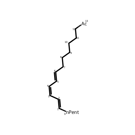 CCCCC/C=C/C=C\C=C\CCCCCCC(C)=O